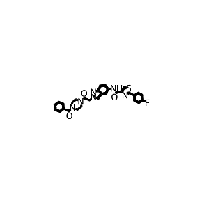 O=C(Nc1ccc2nn(CC(=O)N3CCN(C(=O)c4ccccc4)CC3)cc2c1)c1csc(-c2ccc(F)cc2)n1